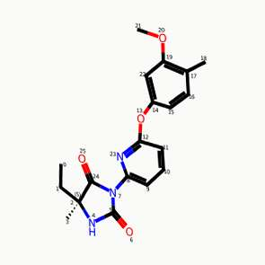 CC[C@]1(C)NC(=O)N(c2cccc(Oc3ccc(C)c(OC)c3)n2)C1=O